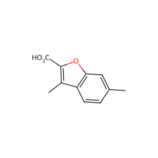 Cc1ccc2c(C)c(C(=O)O)oc2c1